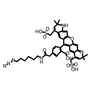 CC1(C)C=C(CS(=O)(=O)O)c2cc3c(cc2=N1)Oc1cc2c(cc1C=3c1ccc(CC(=O)NCCCCCCN=[N+]=[N-])cc1C(=O)O)C(CS(=O)(=O)O)=CC(C)(C)N2